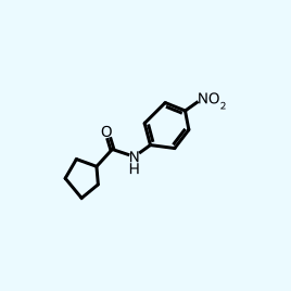 O=C(Nc1ccc([N+](=O)[O-])cc1)C1CCCC1